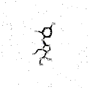 CC(C)CN1/C(=N/c2ccc(C#N)cc2C(C)(C)C)SC[C@H]1[C@@H](C)OC(C)(C)C